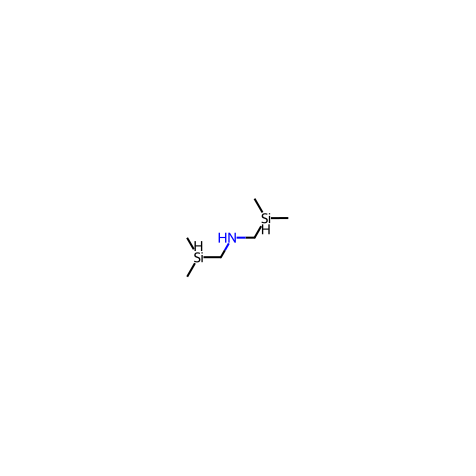 C[SiH](C)CNC[SiH](C)C